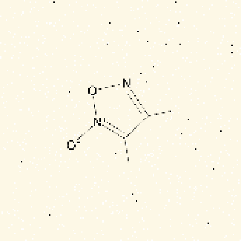 Cc1no[n+]([O-])c1C